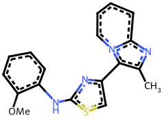 COc1ccccc1Nc1nc(-c2c(C)nc3ccccn23)cs1